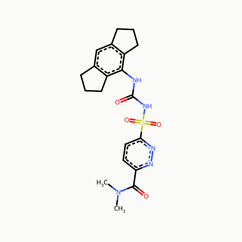 CN(C)C(=O)c1ccc(S(=O)(=O)NC(=O)Nc2c3c(cc4c2CCC4)CCC3)nn1